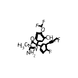 Cc1cc(C2(c3ccc(F)c(C#CCF)c3)N=C(N)N(C)C2=O)ccc1OC(F)F